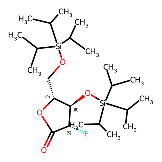 CC(C)[Si](OC[C@H]1OC(=O)[C@@H](F)[C@@H]1O[Si](C(C)C)(C(C)C)C(C)C)(C(C)C)C(C)C